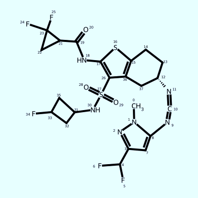 Cn1nc(C(F)F)cc1N=C=N[C@H]1CCc2sc(NC(=O)C3CC3(F)F)c(S(=O)(=O)NC3CC(F)C3)c2C1